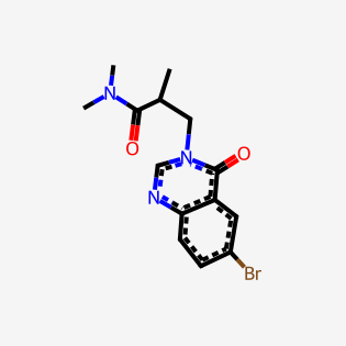 CC(Cn1cnc2ccc(Br)cc2c1=O)C(=O)N(C)C